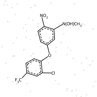 CN(O)c1cc(Oc2ccc(C(F)(F)F)cc2Cl)ccc1[N+](=O)[O-]